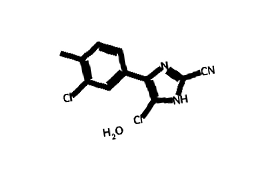 Cc1ccc(-c2nc(C#N)[nH]c2Cl)cc1Cl.O